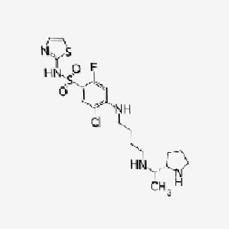 CC(NCCCCNc1cc(F)c(S(=O)(=O)Nc2nccs2)cc1Cl)[C@@H]1CCCN1